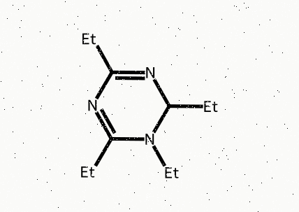 CCC1=NC(CC)N(CC)C(CC)=N1